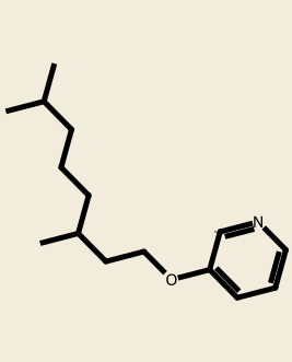 CC(C)CCCC(C)CCOc1[c]nccc1